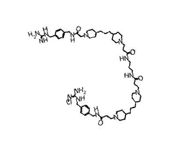 N=C(N)NCc1ccc(CNC(=O)CN2CCC(CCCC3CCN(CCC(=O)NCCCNC(=O)CCN4CCC(CCCC5CCN(CCC(=O)NCc6ccc(CN/C(N)=N\Cl)cc6)CC5)CC4)CC3)CC2)cc1